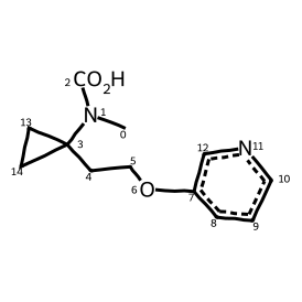 CN(C(=O)O)C1(CCOc2cccnc2)CC1